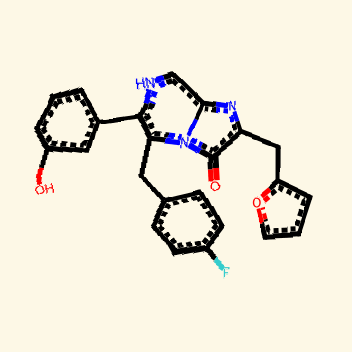 O=c1c(Cc2ccco2)nc2c[nH]c(-c3cccc(O)c3)c(Cc3ccc(F)cc3)n1-2